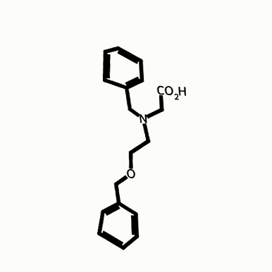 O=C(O)CN(CCOCc1ccccc1)Cc1ccccc1